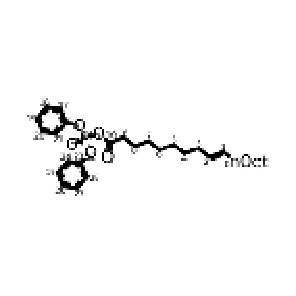 CCCCCCCCC=CCCCCCCCC(=O)OP(=O)(Oc1ccccc1)Oc1ccccc1